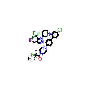 CC(C)(F)C(=O)N1CCN(c2ccc(-c3ccc(Cl)cc3N3CCCC(n4ncc(C=P)c4C(F)(F)F)C3)cc2)CC1